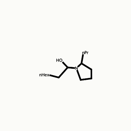 CCCCCCCC(O)N1CCCC1CCC